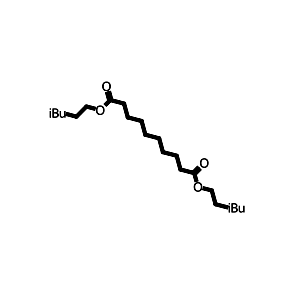 CCC(C)CCOC(=O)CCCCCCCCC(=O)OCCC(C)CC